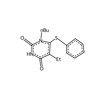 CCCCn1c(Sc2ccccc2)c(CC)c(=O)[nH]c1=O